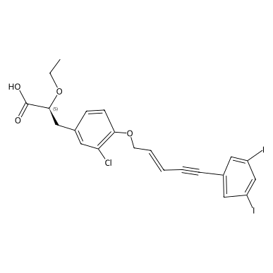 CCO[C@@H](Cc1ccc(OCC=CC#Cc2cc(I)cc(I)c2)c(Cl)c1)C(=O)O